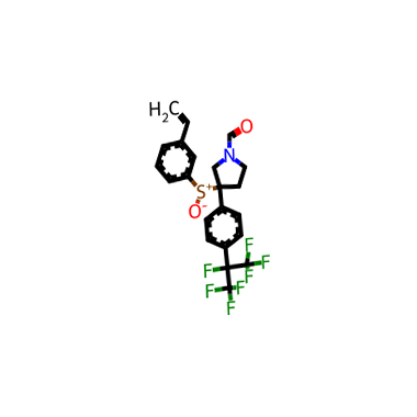 C=Cc1cccc([S+]([O-])C2(c3ccc(C(F)(C(F)(F)F)C(F)(F)F)cc3)CCN(C=O)C2)c1